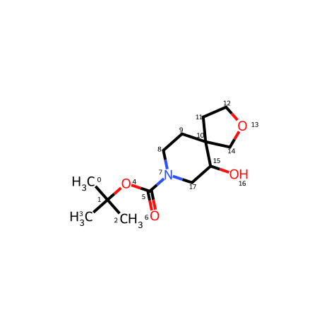 CC(C)(C)OC(=O)N1CCC2(CCOC2)C(O)C1